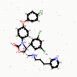 O=C1O[C@@H](CNCCCc2cccnc2)[C@H](c2cc(F)cc(F)c2)N1c1ccc(Oc2ccc(Cl)cc2)cc1